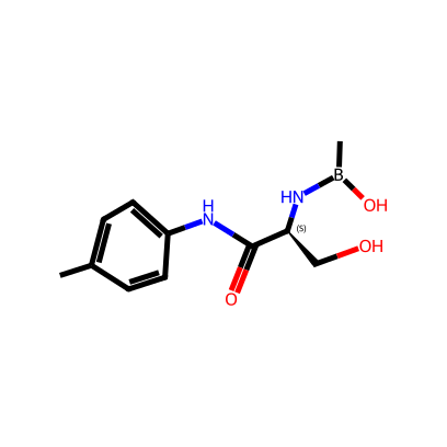 CB(O)N[C@@H](CO)C(=O)Nc1ccc(C)cc1